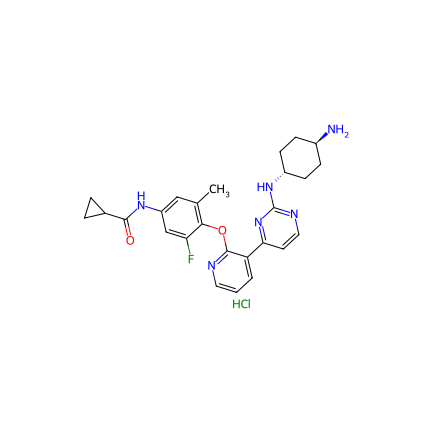 Cc1cc(NC(=O)C2CC2)cc(F)c1Oc1ncccc1-c1ccnc(N[C@H]2CC[C@H](N)CC2)n1.Cl